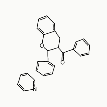 O=C(c1ccccc1)C1Cc2ccccc2OC1c1ccccc1.c1ccncc1